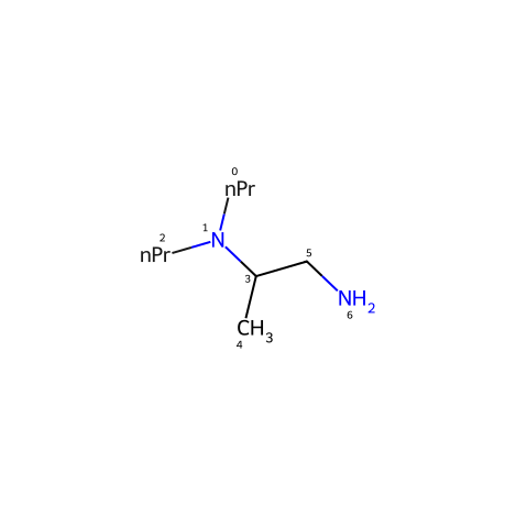 CCCN(CCC)C(C)CN